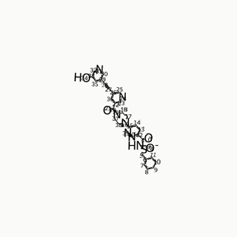 O=C(N[S+]([O-])Cc1ccccc1)c1ccc(N2CCN(C(=O)c3cncc(C#Cc4cncc(O)c4)c3)CC2)nn1